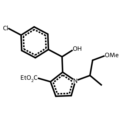 CCOC(=O)c1ccn(C(C)COC)c1C(O)c1ccc(Cl)cc1